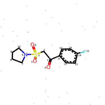 O=C(CS(=O)(=O)N1CCCC1)c1ccc(F)cc1